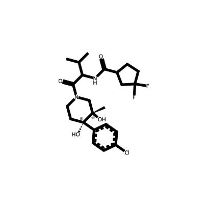 CC(C)C(NC(=O)C1CCC(F)(F)C1)C(=O)N1CC[C@](O)(c2ccc(Cl)cc2)[C@@](C)(O)C1